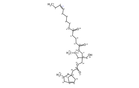 CC/C=C\CCCCOC(=O)CCCC(=O)OCC(CO)(COC)COC(=O)CC12CC=C(CC(C)C1)C2